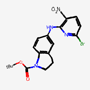 CC(C)(C)OC(=O)N1CCc2cc(Nc3nc(Br)ccc3[N+](=O)[O-])ccc21